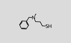 CN(CCCS)Cc1ccccc1